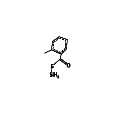 Cc1ccccc1C(=O)S[SiH3]